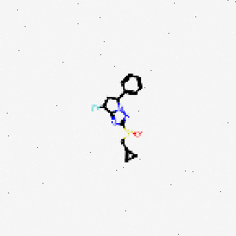 [O-][S@@+](CC1CC1)c1nc2n(n1)C(c1ccccc1)CC2F